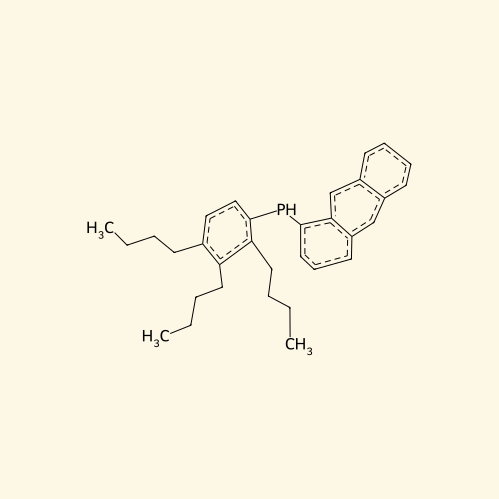 CCCCc1ccc(Pc2cccc3cc4ccccc4cc23)c(CCCC)c1CCCC